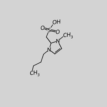 CCCCN1C=CN(C)C1CS(=O)(=O)O